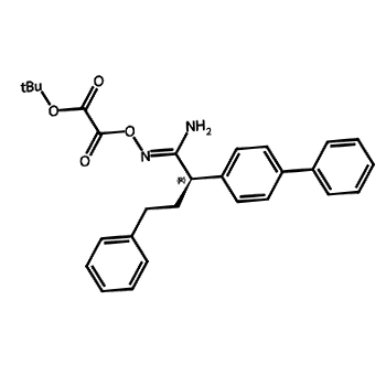 CC(C)(C)OC(=O)C(=O)ON=C(N)[C@H](CCc1ccccc1)c1ccc(-c2ccccc2)cc1